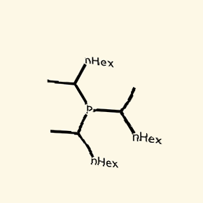 CCCCCCC(C)P(C(C)CCCCCC)C(C)CCCCCC